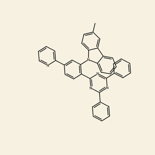 Cc1ccc2c(c1)c1ccccc1n2-c1cc(-c2ccccn2)ccc1-c1nc(-c2ccccc2)nc(-c2ccccc2)n1